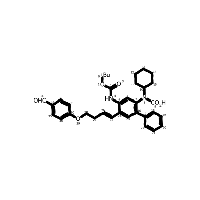 CC(C)(C)OC(=O)Nc1cc(N(C(=O)O)C2CCCCC2)c(-c2ccccc2)cc1/C=C/CCOc1ccc(C=O)cc1